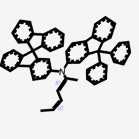 C/C=C\C=C(/C)N(c1ccc2c(c1)C(c1ccccc1)(c1ccccc1)c1ccccc1-2)c1ccc2c(c1)C1(c3ccccc3-c3ccccc31)c1ccccc1-2